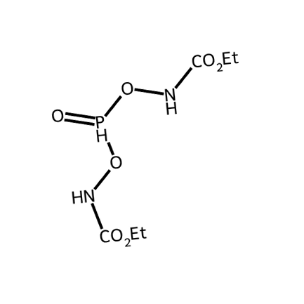 CCOC(=O)NO[PH](=O)ONC(=O)OCC